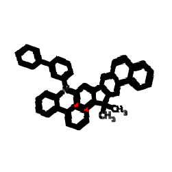 CC1(C)c2ccc(N(c3cccc(-c4ccccc4)c3)c3ccccc3-c3ccccc3)cc2-c2cc3ccc4ccccc4c3cc21